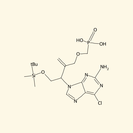 C=C(COCP(=O)(O)O)C(CO[Si](C)(C)C(C)(C)C)n1cnc2c(Cl)nc(N)nc21